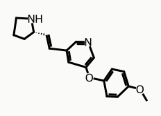 COc1ccc(Oc2cncc(C=C[C@@H]3CCCN3)c2)cc1